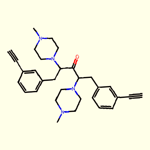 C#Cc1cccc(CC(C(=O)C(Cc2cccc(C#C)c2)N2CCN(C)CC2)N2CCN(C)CC2)c1